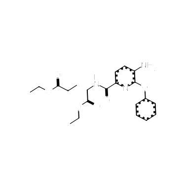 CCOC(=O)CC[C@H](NC(=O)c1ccc(N)c(Oc2ccccc2)n1)C(=O)OCC